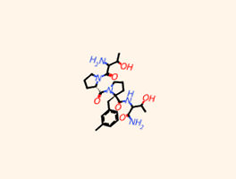 Cc1cccc(C[C@]2(C(=O)NC(C(N)=O)C(C)O)CCCN2C(=O)[C@@H]2CCCN2C(=O)C(N)C(C)O)c1